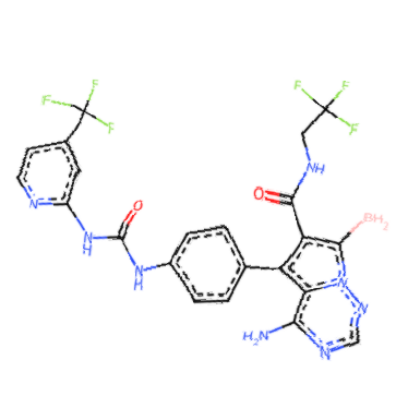 Bc1c(C(=O)NCC(F)(F)F)c(-c2ccc(NC(=O)Nc3cc(C(F)(F)F)ccn3)cc2)c2c(N)ncnn12